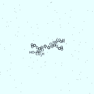 Cc1c(COc2cc(OCc3ccc4c(c3)OCO4)c(CNC(CCO)C(=O)O)cc2Cl)cccc1-c1cccc(COc2cc(OCc3ccc4c(c3)OCO4)c(CNC(CCO)C(=O)O)cc2Cl)c1C